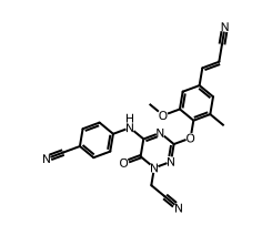 COc1cc(/C=C/C#N)cc(C)c1Oc1nc(Nc2ccc(C#N)cc2)c(=O)n(CC#N)n1